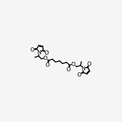 CC(COC(=O)CCCCCC(=O)OCC(C)N1C(=O)C=CC1=O)N1C(=O)C=CC1=O